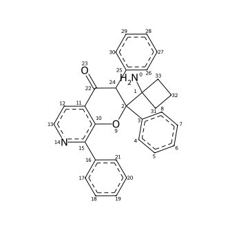 NC1(C2(c3ccccc3)Oc3c(ccnc3-c3ccccc3)C(=O)C2c2ccccc2)CCC1